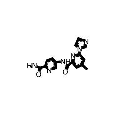 CNC(=O)c1ccc(NC(=O)c2cc(C)cc(-n3ccnc3)n2)cn1